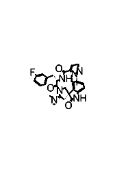 C=[N+](C)[C@@H]1C[C@@]2(CN1C(=O)[C@H](Cc1cccc(F)c1)NC(=O)c1ccn[nH]1)C(=O)Nc1ccccc12